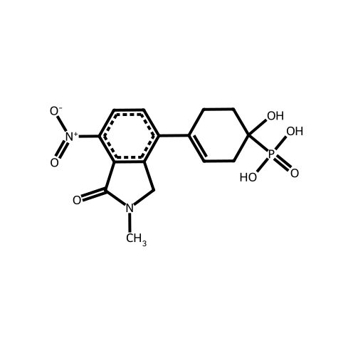 CN1Cc2c(C3=CCC(O)(P(=O)(O)O)CC3)ccc([N+](=O)[O-])c2C1=O